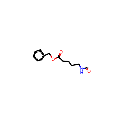 O=[C]NCCCCC(=O)OCc1ccccc1